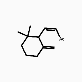 C=C1CCCC(C)(C)C1/C=C\C(C)=O